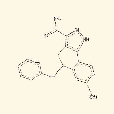 NC(=O)c1n[nH]c2c1CC(Cc1ccccc1)c1cc(O)ccc1-2